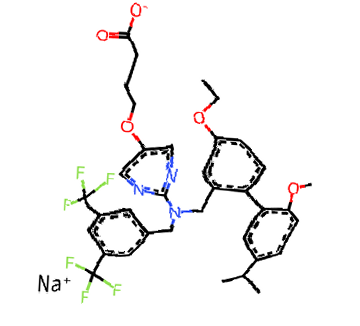 CCOc1ccc(-c2cc(C(C)C)ccc2OC)c(CN(Cc2cc(C(F)(F)F)cc(C(F)(F)F)c2)c2ncc(OCCCC(=O)[O-])cn2)c1.[Na+]